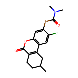 CC1CCc2c(c3cc(Cl)c(SC(=O)N(C)C)cc3oc2=O)C1